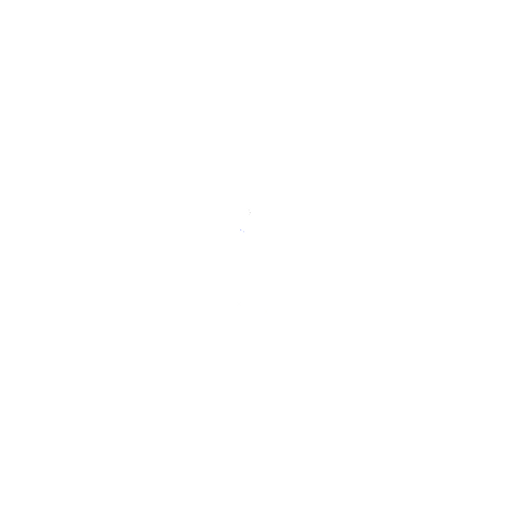 CCc1c(N2CC[C@H](O)C2=O)cccc1S(=O)(=O)Cl